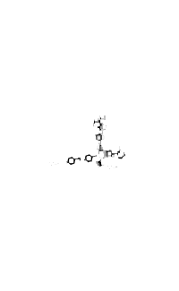 COc1ccc(C(=O)Oc2ccc(CS[P@@](=O)(OC[C@@H]3C[C@@H](F)[C@H](n4cnc5c(N)ncnc54)O3)O[C@H]3[C@@H](F)[C@H](n4ccc(=O)[nH]c4=O)O[C@@H]3COP(=O)(O)OC)cc2)cc1